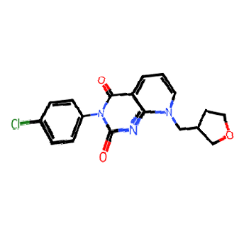 O=c1nc2n(CC3CCOC3)cccc-2c(=O)n1-c1ccc(Cl)cc1